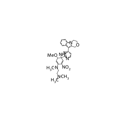 COC1C=C(N(C)CCN(C)C)C([N+](=O)[O-])=CC1(N)c1nccc(-c2c3n(c4ccccc24)CCOC3)n1